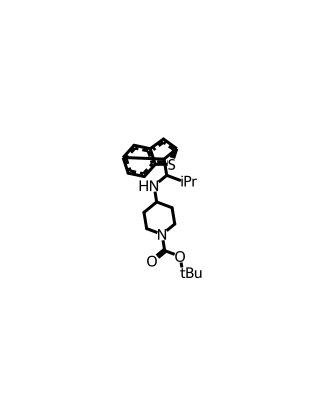 CC(C)C(NC1CCN(C(=O)OC(C)(C)C)CC1)C1c2ccc3sc1cc3c2